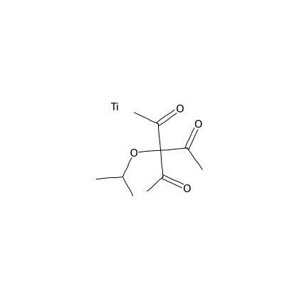 CC(=O)C(OC(C)C)(C(C)=O)C(C)=O.[Ti]